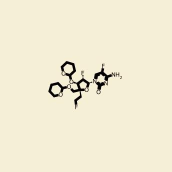 Nc1nc(=O)n([C@@H]2O[C@](CCF)(COC3CCCCO3)[C@@H](OC3CCCCO3)[C@@H]2F)cc1F